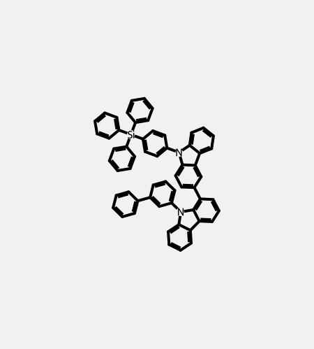 c1ccc(-c2cccc(-n3c4ccccc4c4cccc(-c5ccc6c(c5)c5ccccc5n6-c5ccc([Si](c6ccccc6)(c6ccccc6)c6ccccc6)cc5)c43)c2)cc1